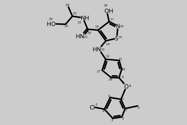 Cc1ccc(Cl)cc1Oc1ccc(Nc2snc(O)c2C(=N)NC(C)CO)cc1